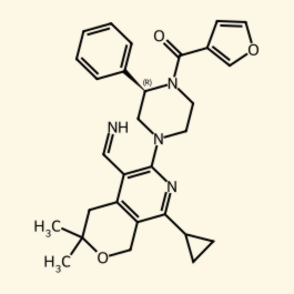 CC1(C)Cc2c(C=N)c(N3CCN(C(=O)c4ccoc4)[C@H](c4ccccc4)C3)nc(C3CC3)c2CO1